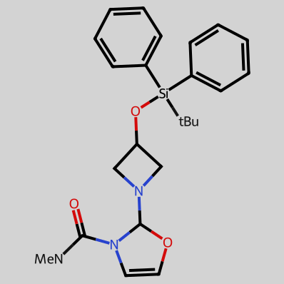 CNC(=O)N1C=COC1N1CC(O[Si](c2ccccc2)(c2ccccc2)C(C)(C)C)C1